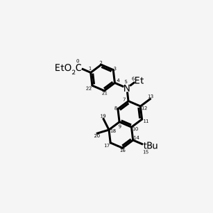 CCOC(=O)c1ccc(N(CC)c2cc3c(cc2C)C(C(C)(C)C)=CCC3(C)C)cc1